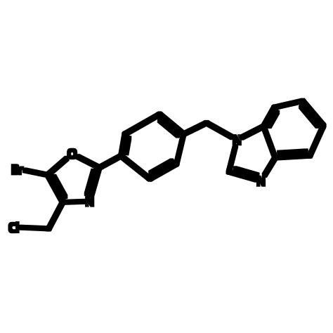 ClCc1nc(-c2ccc(Cn3cnc4ccccc43)cc2)oc1Br